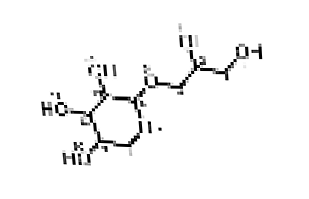 OCC(O)COC1OCC(O)C(O)C1O